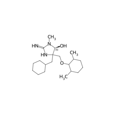 CC1CCCC(C)C1OCC1(CC2CCCCC2)NC(=N)N(C)[C@H]1O